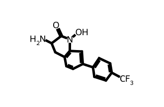 NC1Cc2ccc(-c3ccc(C(F)(F)F)cc3)cc2N(O)C1=O